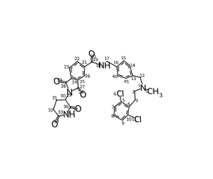 CN(CCc1c(Cl)cccc1Cl)Cc1ccc(CNC(=O)c2ccc3c(c2)C(=O)N(C2CCC(=O)NC2=O)C3=O)cc1